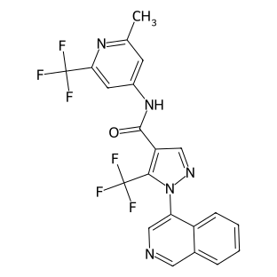 Cc1cc(NC(=O)c2cnn(-c3cncc4ccccc34)c2C(F)(F)F)cc(C(F)(F)F)n1